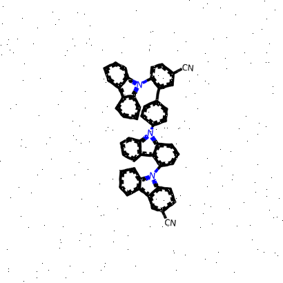 N#Cc1ccc(-n2c3ccccc3c3ccccc32)c(-c2ccc(-n3c4ccccc4c4c(-n5c6ccccc6c6cc(C#N)ccc65)cccc43)cc2)c1